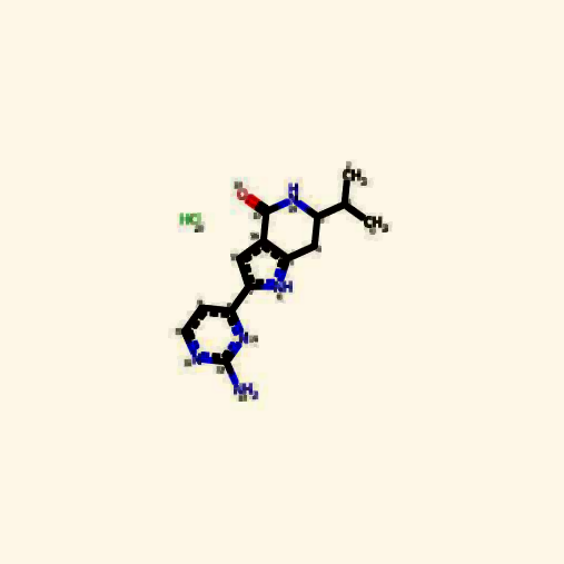 CC(C)C1Cc2[nH]c(-c3ccnc(N)n3)cc2C(=O)N1.Cl